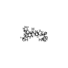 C[C@@H](O)c1cc2cnc(Nc3ccc4c(n3)CCN(C(=O)C3CNCCO3)C4)nc2c(N2CCCCC2)n1